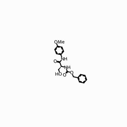 COc1ccc(NC(=O)[C@H](CO)NC(=O)OCc2ccccc2)cc1